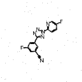 N#Cc1cc(F)cc(-c2nnn(-c3ccc(F)cn3)n2)c1